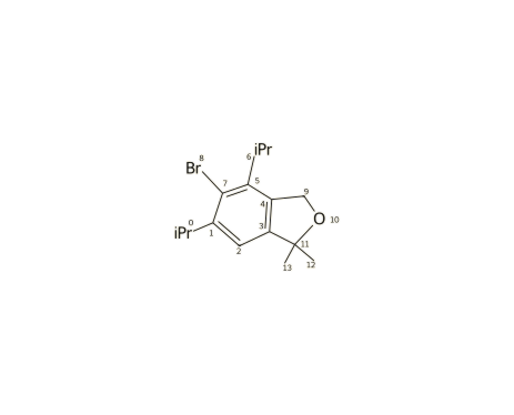 CC(C)c1cc2c(c(C(C)C)c1Br)COC2(C)C